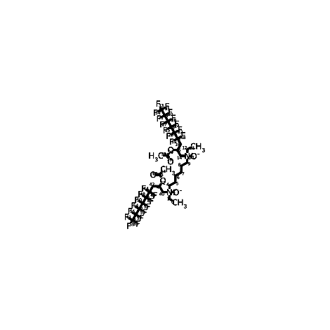 CC[N+]([O-])(CCCCCC[N+]([O-])(CC)CC(CC(F)(F)C(F)(F)C(F)(F)C(F)(F)C(F)(F)C(F)(F)F)OC(C)=O)CC(CC(F)(F)C(F)(F)C(F)(F)C(F)(F)C(F)(F)C(F)(F)F)OC(C)=O